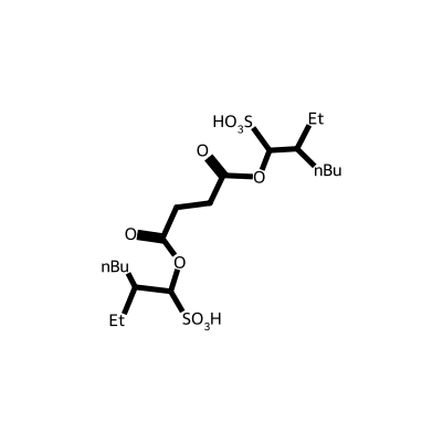 CCCCC(CC)C(OC(=O)CCC(=O)OC(C(CC)CCCC)S(=O)(=O)O)S(=O)(=O)O